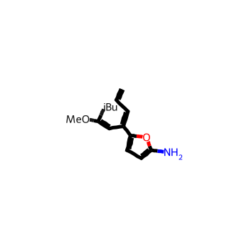 C=C/C=C(\C=C(\OC)C(C)CC)c1ccc(N)o1